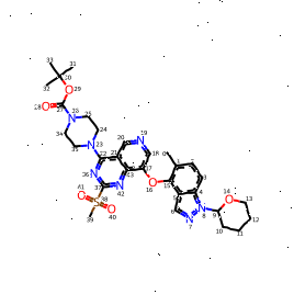 Cc1ccc2c(cnn2C2CCCCO2)c1Oc1cncc2c(N3CCN(C(=O)OC(C)(C)C)CC3)nc(S(C)(=O)=O)nc12